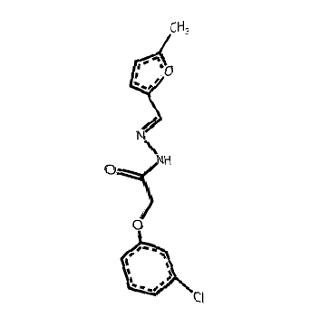 Cc1ccc(/C=N/NC(=O)COc2cccc(Cl)c2)o1